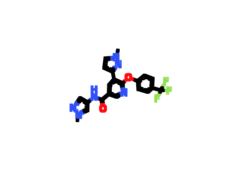 Cn1cc(NC(=O)c2cnc(Oc3ccc(C(F)(F)F)cc3)c(-c3ccn(C)n3)c2)cn1